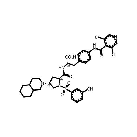 N#Cc1cccc(S(=O)(=O)N2C[C@H](N3CCC4CCCCC4C3)C[C@H]2C(=O)N[C@@H](Cc2ccc(NC(=O)c3c(Cl)cncc3Cl)cc2)C(=O)O)c1